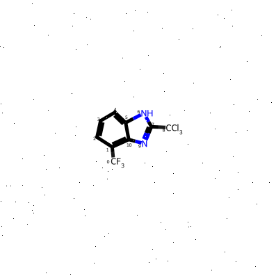 FC(F)(F)c1cccc2[nH]c(C(Cl)(Cl)Cl)nc12